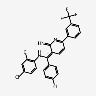 N=C1N=C(c2cccc(C(F)(F)F)c2)C=C/C1=C(/Nc1ccc(Cl)cc1Cl)c1ccc(Cl)cc1